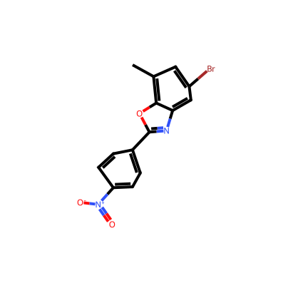 Cc1cc(Br)cc2nc(-c3ccc([N+](=O)[O-])cc3)oc12